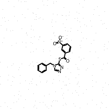 O=C(Sc1nncn1Cc1ccccc1)c1cccc([N+](=O)[O-])c1